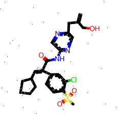 C=C(CO)Cc1cnc(NC(=O)/C(=C/C2CCCC2)c2ccc(S(C)(=O)=O)c(Cl)c2)cn1